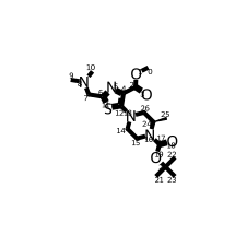 COC(=O)c1nc(CN(C)C)sc1N1CCN(C(=O)OC(C)(C)C)[C@H](C)C1